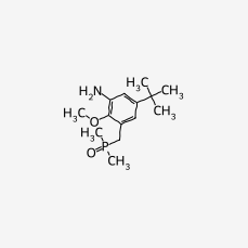 COc1c(N)cc(C(C)(C)C)cc1CP(C)(C)=O